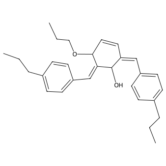 CCCOC1C=CC(=Cc2ccc(CCC)cc2)C(O)C1=Cc1ccc(CCC)cc1